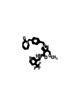 COCc1nn(Cc2ccc(CN3C=CC=CCC3=O)cc2)cc1C(=O)NCc1cnccc1C(F)(F)F